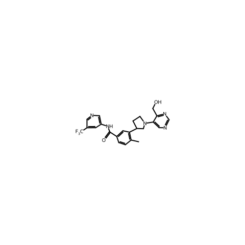 Cc1ccc(C(=O)Nc2cncc(C(F)(F)F)c2)cc1C1CCN(c2cncnc2CO)C1